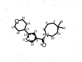 CC1(C)CCCN(C(=O)c2csc(C3CCOCC3)c2)CC1